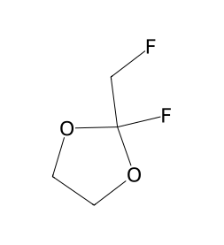 FCC1(F)OCCO1